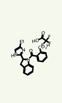 CCc1c[nH]c(C2Cc3ccccc3N2C(=O)c2ccccc2C(=O)O)n1.O=C(O)C(F)(F)F